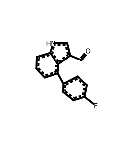 O=Cc1c[nH]c2cccc(-c3ccc(F)cc3)c12